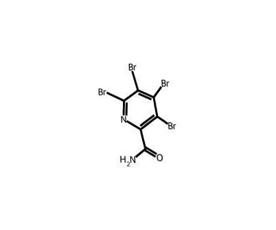 NC(=O)c1nc(Br)c(Br)c(Br)c1Br